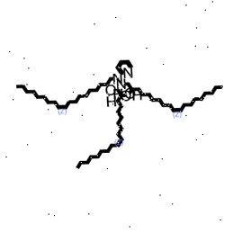 CCCCCCCC/C=C\CCCCCCCC(O)CN(CC(O)CCCCCCC/C=C\CCCCCCCC)N(CC(O)CCCCCCC/C=C\CCCCCCCC)c1ccccn1